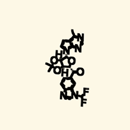 Cc1ncnc2c1ccn2[C@@H]1O[C@H](C(=O)c2ccc3ncn(C(F)F)c3c2)[C@H]2OC(C)(C)O[C@H]21